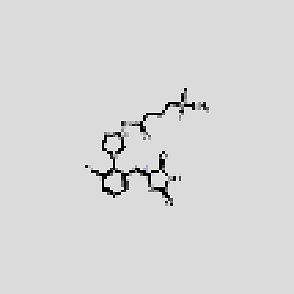 NS(=O)(=O)CCCC(=O)N[C@H]1CCN(c2c(Cl)cccc2/C=C2\SC(=O)NC2=O)C1